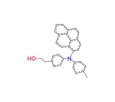 Cc1ccc(N(c2ccc(CCO)cc2)c2ccc3ccc4cccc5ccc2c3c45)cc1